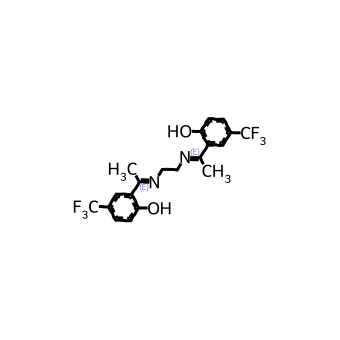 C/C(=N\CC/N=C(\C)c1cc(C(F)(F)F)ccc1O)c1cc(C(F)(F)F)ccc1O